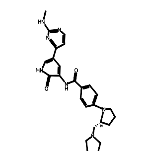 CNc1nccc(-c2c[nH]c(=O)c(NC(=O)c3ccc(N4CCC[C@@H]4CN4CCCC4)cc3)c2)n1